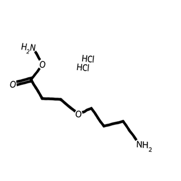 Cl.Cl.NCCCOCCC(=O)ON